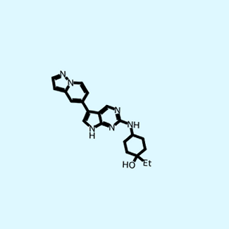 CCC1(O)CCC(Nc2ncc3c(-c4ccn5nccc5c4)c[nH]c3n2)CC1